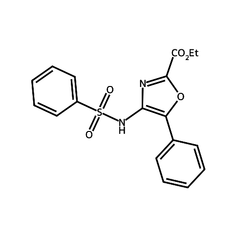 CCOC(=O)c1nc(NS(=O)(=O)c2ccccc2)c(-c2ccccc2)o1